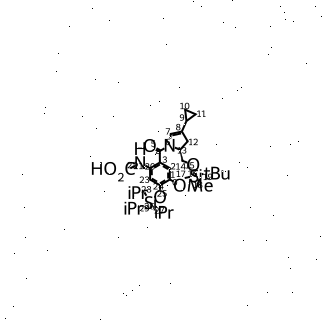 COc1cc(C(=O)N2C=C(C3CC3)C[C@H]2CO[Si](C)(C)C(C)(C)C)c(NC(=O)O)cc1O[Si](C(C)C)(C(C)C)C(C)C